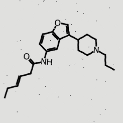 CCC=CCC(=O)Nc1ccc2occ(C3CCN(CCC)CC3)c2c1